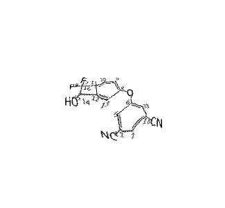 N#Cc1cc(C#N)cc(OC2=C=C=C3C(=C2)C(O)C3(F)F)c1